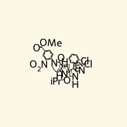 COC(=O)c1ccc(N2CC[C@H]3[C@@H](C2=O)[C@H](c2cccc(Cl)c2F)[C@]2(C(=O)Nc4nc(Cl)ccc42)N3CC(C)C)c([N+](=O)[O-])c1